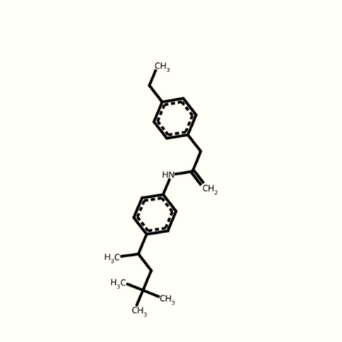 C=C(Cc1ccc(CC)cc1)Nc1ccc(C(C)CC(C)(C)C)cc1